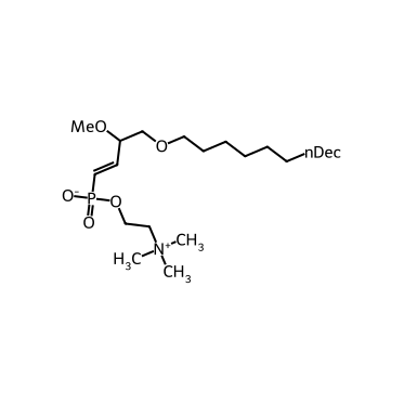 CCCCCCCCCCCCCCCCOCC(C=CP(=O)([O-])OCC[N+](C)(C)C)OC